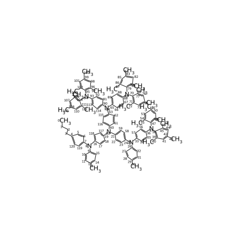 CCCCc1ccc(N(c2ccc(C)cc2)c2ccc(N(c3ccc(N(c4ccc(C)cc4)c4ccc(N(c5c(C)cc(C)cc5C)c5c(C)cc(C)cc5C)cc4)cc3)c3ccc(N(c4ccc(N(c5c(C)cc(C)cc5C)c5c(C)cc(C)cc5C)cc4)c4ccc(N(c5c(C)cc(C)cc5C)c5c(C)cc(C)cc5C)cc4)cc3)cc2)cc1